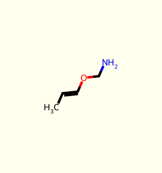 CC=COCN